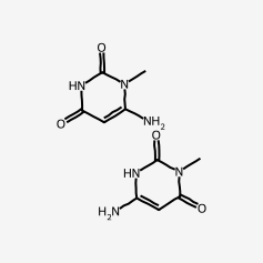 Cn1c(=O)cc(N)[nH]c1=O.Cn1c(N)cc(=O)[nH]c1=O